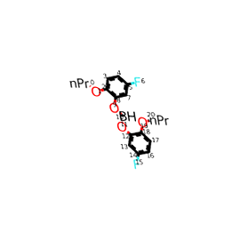 CCCOc1ccc(F)cc1OBOc1cc(F)ccc1OCCC